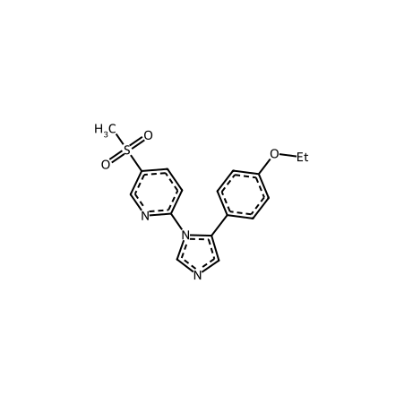 CCOc1ccc(-c2cncn2-c2ccc(S(C)(=O)=O)cn2)cc1